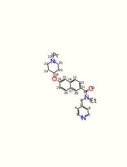 CCN(Cc1ccncc1)C(=O)c1ccc2cc(OC3CCN(C(C)C)CC3)ccc2c1